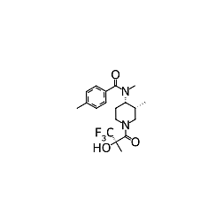 Cc1ccc(C(=O)N(C)[C@H]2CCN(C(=O)[C@@](C)(O)C(F)(F)F)C[C@H]2C)cc1